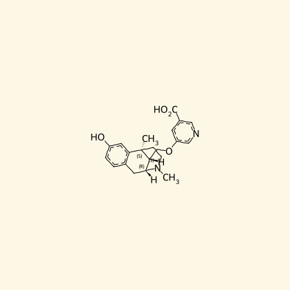 CN1CC[C@]2(C)c3cc(O)ccc3C[C@@H]1[C@H]2COc1cncc(C(=O)O)c1